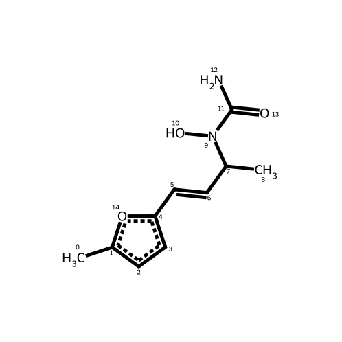 Cc1ccc(C=CC(C)N(O)C(N)=O)o1